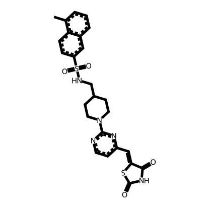 Cc1cccc2cc(S(=O)(=O)NCC3CCN(c4nccc(/C=C5\SC(=O)NC5=O)n4)CC3)ccc12